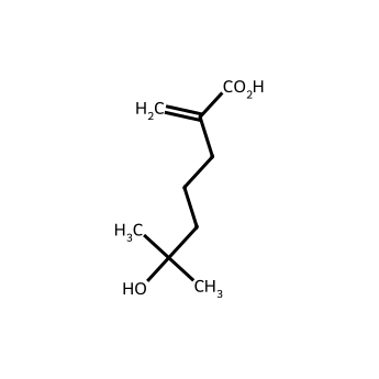 C=C(CCCC(C)(C)O)C(=O)O